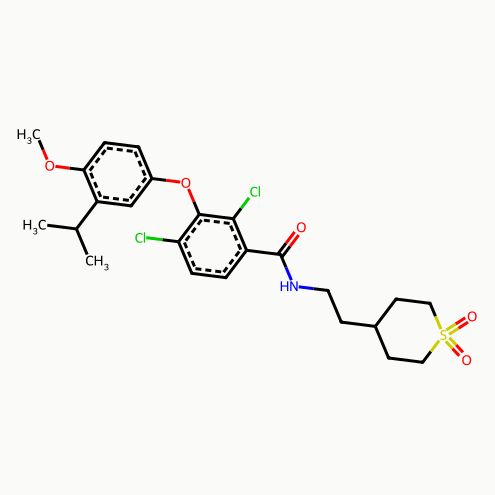 COc1ccc(Oc2c(Cl)ccc(C(=O)NCCC3CCS(=O)(=O)CC3)c2Cl)cc1C(C)C